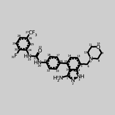 Nc1n[nH]c2c(CN3CCOCC3)ccc(-c3ccc(NC(=O)Nc4cc(C(F)(F)F)ccc4F)cc3)c12